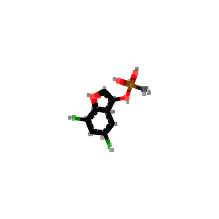 O=S(=O)(Oc1coc2c(F)cc(F)cc12)C(F)(F)F